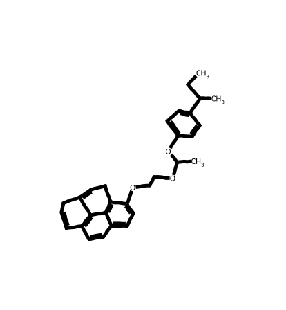 CCC(C)c1ccc(OC(C)OCCOc2ccc3ccc4c5c3c2CC=C5CC=C4)cc1